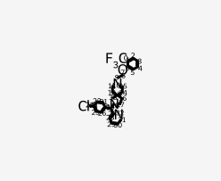 FC(F)(F)c1ccccc1OCCN1CCC2(CC1)CCN(C(c1ccc(Cl)cc1)c1ccccn1)C2